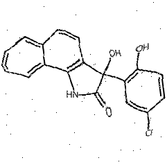 O=C1Nc2c(ccc3ccccc23)C1(O)c1cc(Cl)ccc1O